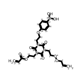 C=CCOOCCn1c(=O)n(CCOC(=O)C=C)c(=O)n(CCOc2ccc(B(O)O)cc2)c1=O